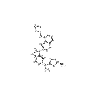 COCCOc1cccc2ccc(-c3nnc4ccc([C@H](C)N5CC[C@H](N)C5)cn34)nc12